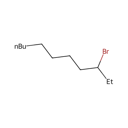 CCCCCCCCC(Br)CC